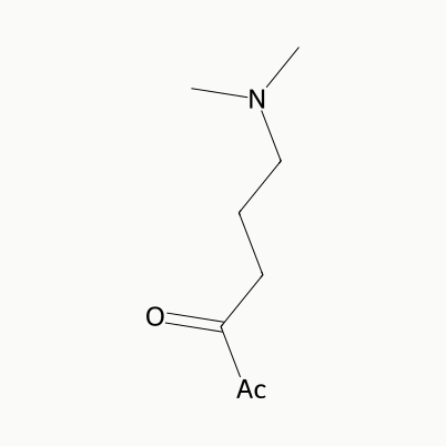 CC(=O)C(=O)CCCN(C)C